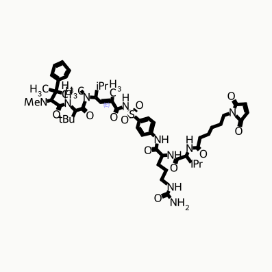 CNC(C(=O)NC(C(=O)N(C)C(/C=C(\C)C(=O)NS(=O)(=O)c1ccc(NC(=O)C(CCCNC(N)=O)NC(=O)C(NC(=O)CCCCCN2C(=O)C=CC2=O)C(C)C)cc1)C(C)C)C(C)(C)C)C(C)(C)c1ccccc1